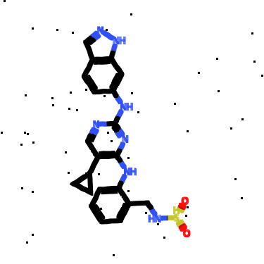 O=[SH](=O)NCc1ccccc1Nc1nc(Nc2ccc3cn[nH]c3c2)ncc1C1CC1